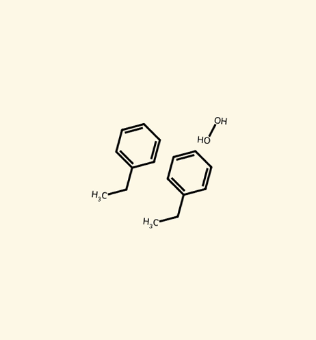 CCc1ccccc1.CCc1ccccc1.OO